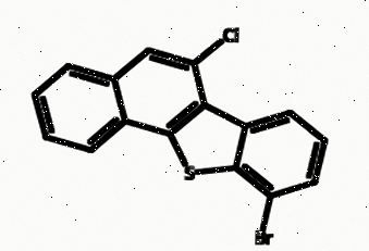 Clc1cc2ccccc2c2sc3c(Br)cccc3c12